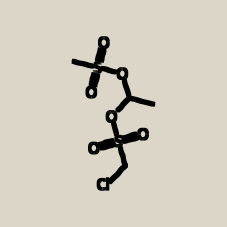 CC(OS(C)(=O)=O)OS(=O)(=O)CCl